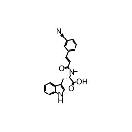 CN(C(=O)C=Cc1cccc(C#N)c1)[C@@H](Cc1c[nH]c2ccccc12)C(=O)O